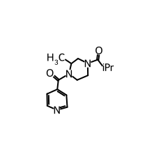 CC(C)C(=O)N1CCN(C(=O)c2ccncc2)C(C)C1